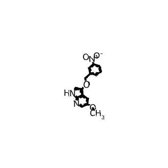 COc1cnc2[nH]cc(OCc3cccc([N+](=O)[O-])c3)c2c1